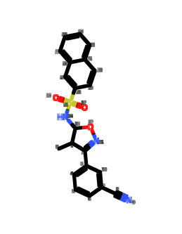 CC1C(c2cccc(C#N)c2)=NOC1NS(=O)(=O)c1ccc2ccccc2c1